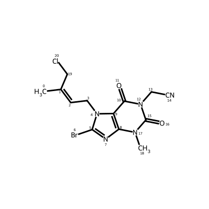 C/C(=C/Cn1c(Br)nc2c1c(=O)n(CC#N)c(=O)n2C)CCl